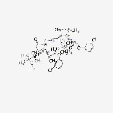 C[C@H](/C=C/[C@H]1[C@H](O[Si](C)(C)C(C)(C)C)CC(=O)[C@@H]1C/C=C/C[C@H]1C(=O)C[C@@H](C)[C@@H]1/C=C/[C@H](COc1cccc(Cl)c1)O[Si](C)(C)C(C)(C)C)COc1cccc(Cl)c1